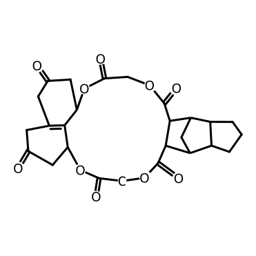 O=C1CC2=C3C(C1)OC(=O)COC(=O)C1C4CC(C5CCCC54)C1C(=O)OCC(=O)OC3CC(=O)C2